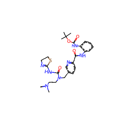 CN(C)CCN(Cc1ccc(C(=O)Nc2ccccc2NC(=O)OC(C)(C)C)nc1)C(=O)NC1=NCCS1